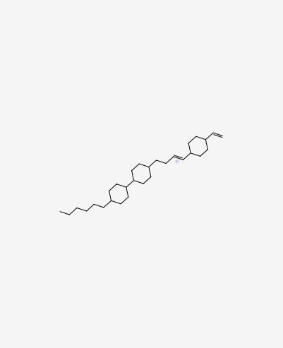 C=CC1CCC(/C=C/CCC2CCC(C3CCC(CCCCCC)CC3)CC2)CC1